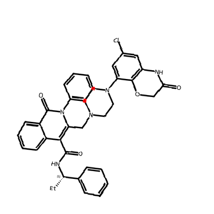 CC[C@H](NC(=O)c1c(CN2CCN(c3cc(Cl)cc4c3OCC(=O)N4)CC2)n(-c2ccccc2)c(=O)c2ccccc12)c1ccccc1